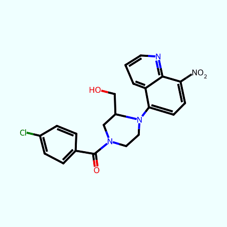 O=C(c1ccc(Cl)cc1)N1CCN(c2ccc([N+](=O)[O-])c3ncccc23)C(CO)C1